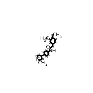 COc1ccc(CC(=O)Nc2ccc(-c3ccnc(C)c3)cc2)cc1C